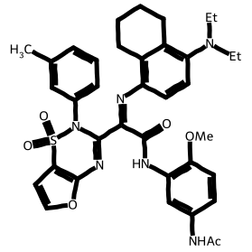 CCN(CC)c1ccc(/N=C(\C(=O)Nc2cc(NC(C)=O)ccc2OC)C2=Nc3occc3S(=O)(=O)N2c2cccc(C)c2)c2c1CCCC2